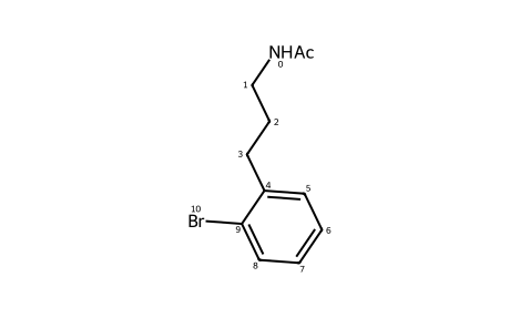 CC(=O)NCCCc1ccccc1Br